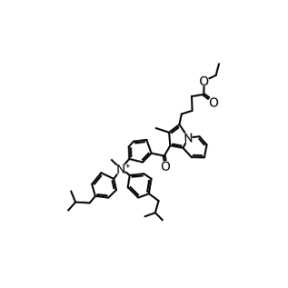 CCOC(=O)CCCc1c(C)c(C(=O)c2cccc([N+](C)(c3ccc(CC(C)C)cc3)c3ccc(CC(C)C)cc3)c2)c2ccccn12